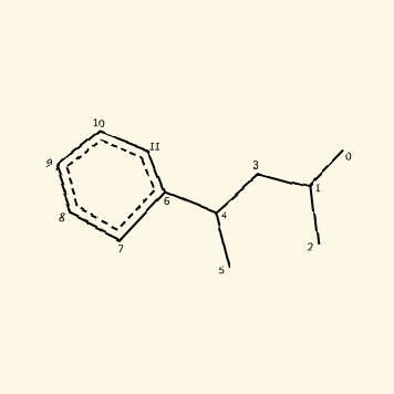 CC(C)CC(C)c1cc[c]cc1